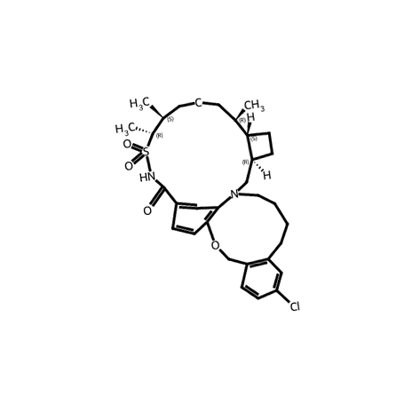 C[C@@H]1CCC[C@H](C)[C@@H](C)S(=O)(=O)NC(=O)c2ccc3c(c2)N(CCCCc2cc(Cl)ccc2CO3)C[C@@H]2CC[C@H]21